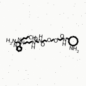 CCCCc1nc2c(N)nc3ccccc3c2n1CCCCNC(=O)CNC(=O)CCOCCOCCC(=O)NCC1CCCCCCCC(N)CC1